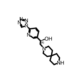 O[C@@H](CN1CCC2(CCNCC2)CC1)c1ccc(-n2cnnn2)nc1